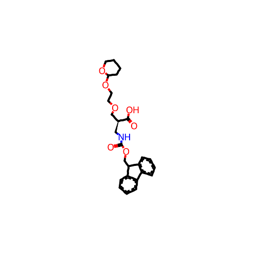 O=C(NC[C@@H](COCCOC1CCCCO1)C(=O)O)OCC1c2ccccc2-c2ccccc21